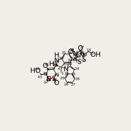 CN1C(=O)[C@@]23CC4(n5c(C[C@@]67SS[C@@](CO)(C(=O)N6C)N(C)C7=O)cc6ccccc65)c5ccccc5N[C@@H]4C2C(=O)[C@]1(CO)SS3